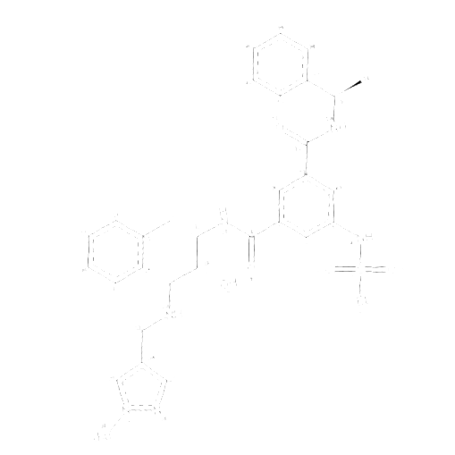 CCS(=O)(=O)Nc1cc(C(=O)N[C@@H](Cc2ccccc2)[C@H](O)CNCc2cnn(C(C)(C)C)c2)cc(C(=O)N[C@H](C)c2ccccc2)c1